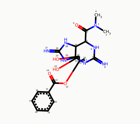 CN(C)C(=O)C1NC(=N)N2CC(OC(=O)c3ccccc3)C(O)(O)C23NC(=N)NC13